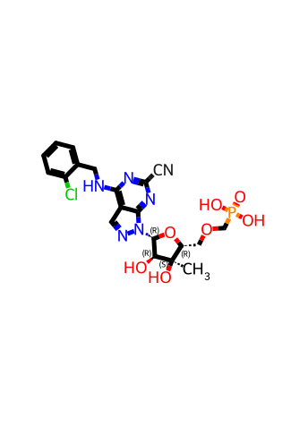 C[C@@]1(O)[C@@H](COCP(=O)(O)O)O[C@@H](n2ncc3c(NCc4ccccc4Cl)nc(C#N)nc32)[C@@H]1O